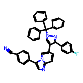 N#Cc1ccc(-c2cnc3ccc(-c4cn(C(c5ccccc5)(c5ccccc5)c5ccccc5)nc4-c4ccc(F)cc4)cn23)cc1